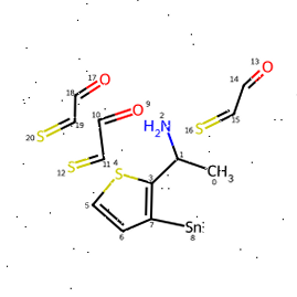 CC(N)c1scc[c]1[Sn].O=CC=S.O=CC=S.O=CC=S